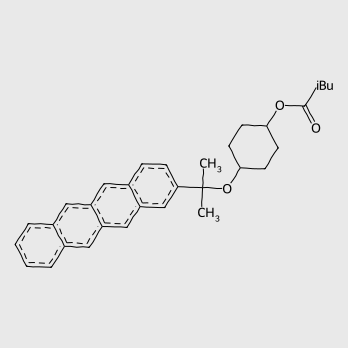 CCC(C)C(=O)OC1CCC(OC(C)(C)c2ccc3cc4cc5ccccc5cc4cc3c2)CC1